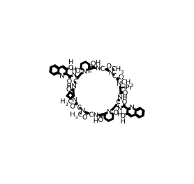 CC(C)[C@H]1C(=O)NC[C@@H](NC(=O)c2nc3ccccc3cc2O)C(=O)N2CCCC[C@H]2C(=O)NCC(=O)N(C)CC(=O)N(C)C2(CCC2)C(=O)NC[C@@H](NC(=O)c2nc3ccccc3cc2O)C(=O)N2CCCC[C@H]2C(=O)NCC(=O)N(C)CC(=O)N1C